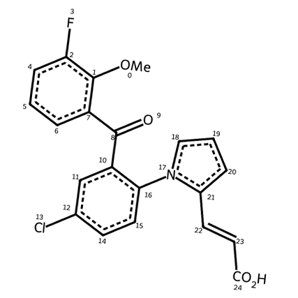 COc1c(F)cccc1C(=O)c1cc(Cl)ccc1-n1cccc1/C=C/C(=O)O